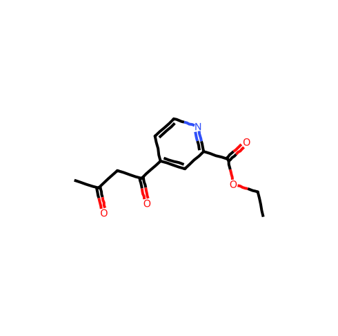 CCOC(=O)c1cc(C(=O)CC(C)=O)ccn1